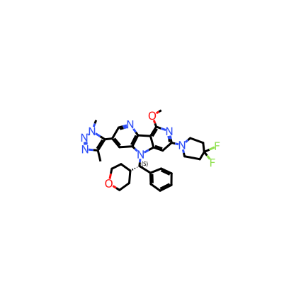 COc1nc(N2CCC(F)(F)CC2)cc2c1c1ncc(-c3c(C)nnn3C)cc1n2[C@H](c1ccccc1)C1CCOCC1